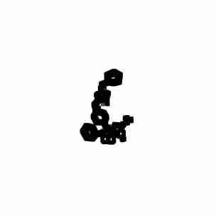 COC(=O)[C@H](CCSC)N(C(=O)c1ccccc1)C1CCN(Cc2cn(Cc3ccccc3)cn2)CC1